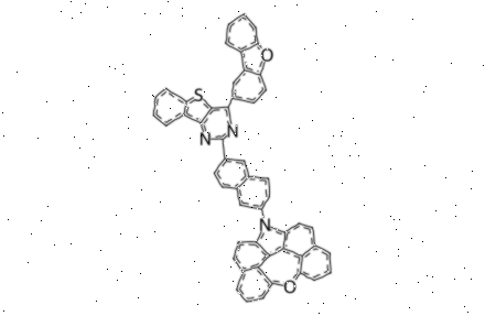 c1ccc2c(c1)oc1ccc(-c3nc(-c4ccc5cc(-n6c7ccc8cccc9oc%10cccc%11ccc6c(c%11%10)c7c89)ccc5c4)nc4c3sc3ccccc34)cc12